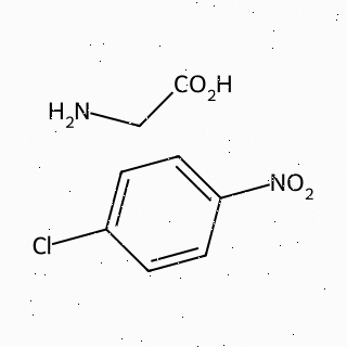 NCC(=O)O.O=[N+]([O-])c1ccc(Cl)cc1